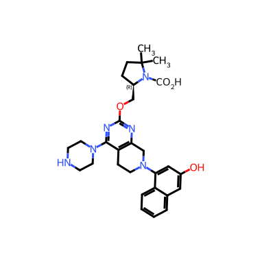 CC1(C)CC[C@H](COc2nc3c(c(N4CCNCC4)n2)CCN(c2cc(O)cc4ccccc24)C3)N1C(=O)O